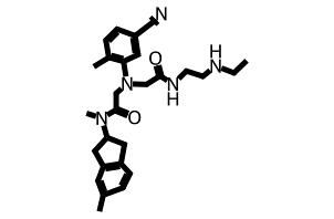 CCNCCNC(=O)CN(CC(=O)N(C)C1Cc2ccc(C)cc2C1)c1cc(C#N)ccc1C